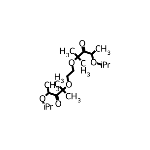 CC(C)OC(C)C(=O)C(C)(C)OCCOC(C)(C)C(=O)C(C)OC(C)C